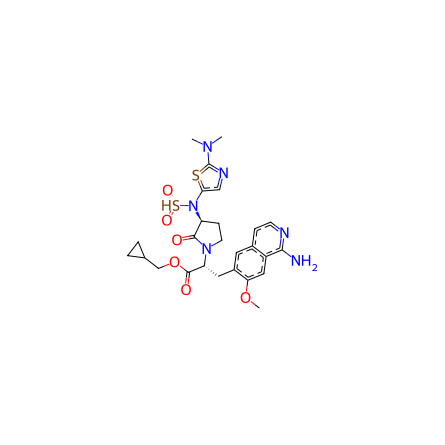 COc1cc2c(N)nccc2cc1C[C@H](C(=O)OCC1CC1)N1CC[C@H](N(c2cnc(N(C)C)s2)[SH](=O)=O)C1=O